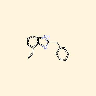 C=Cc1cccc2[nH]c(Cc3ccccc3)nc12